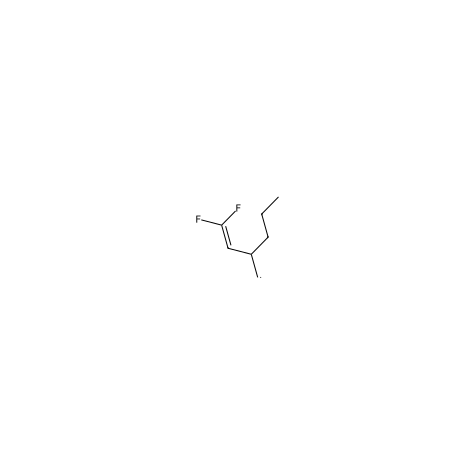 [CH2]C(C=C(F)F)CCC